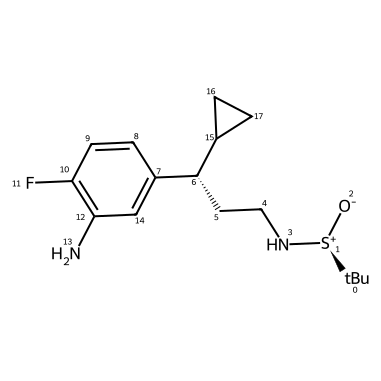 CC(C)(C)[S@+]([O-])NCC[C@H](c1ccc(F)c(N)c1)C1CC1